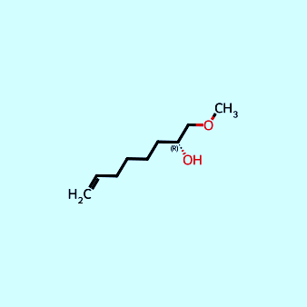 C=CCCCC[C@@H](O)COC